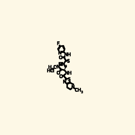 CN1CCc2nc(C(=O)N[C@@H](CNC(=S)C(=O)Nc3ccc(F)cn3)C(=O)N(C)C)sc2C1.Cl